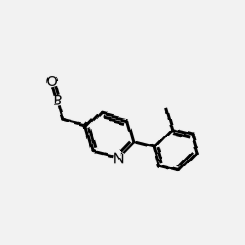 Cc1ccccc1-c1ccc(CB=O)cn1